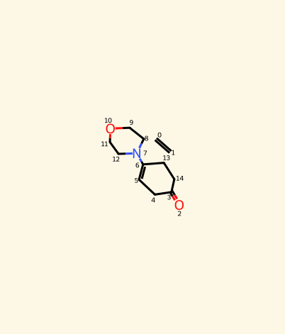 C=C.O=C1CC=C(N2CCOCC2)CC1